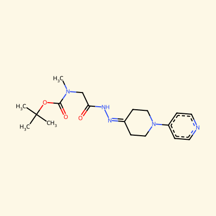 CN(CC(=O)NN=C1CCN(c2ccncc2)CC1)C(=O)OC(C)(C)C